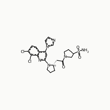 NS(=O)(=O)C1CCN(C(=O)C[C@@H]2CCCN2c2cc(-n3ccnc3)c3ccc(Cl)c(Cl)c3n2)C1